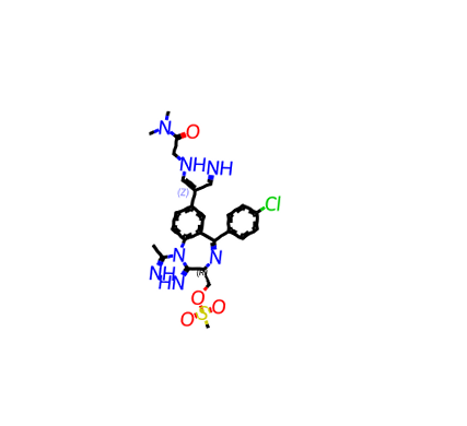 CC(=N)N1C(=N)[C@H](COS(C)(=O)=O)N=C(c2ccc(Cl)cc2)c2cc(/C(C=N)=C/NCC(=O)N(C)C)ccc21